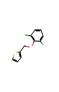 Clc1c[c]cc(Cl)c1OCc1cccs1